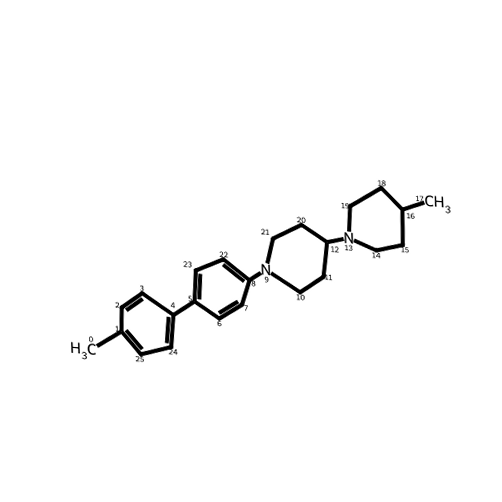 Cc1ccc(-c2ccc(N3CCC(N4CCC(C)CC4)CC3)cc2)cc1